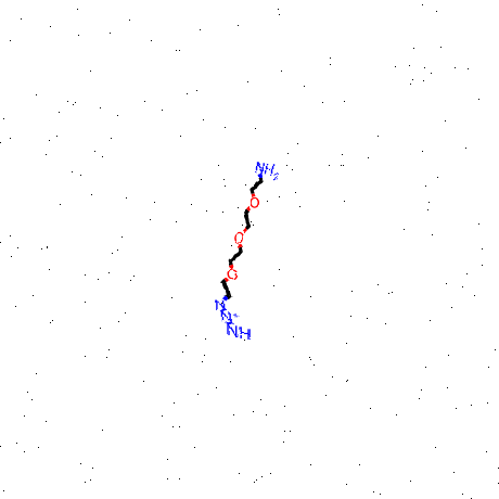 N=[N+]=NCCOCCOCCOCCN